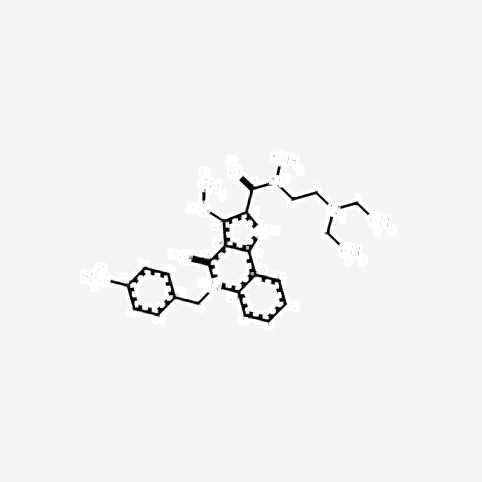 CCN(CC)CCN(C)C(=O)c1sc2c(c1OC)c(=O)n(Cc1ccc(C)cc1)c1ccccc21